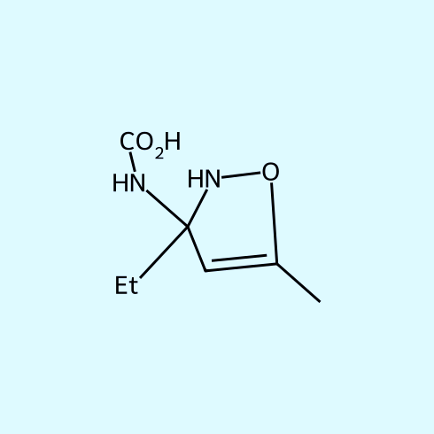 CCC1(NC(=O)O)C=C(C)ON1